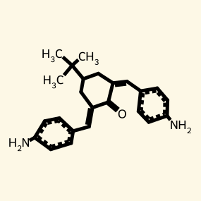 CC(C)(C)C1C/C(=C/c2ccc(N)cc2)C(=O)/C(=C/c2ccc(N)cc2)C1